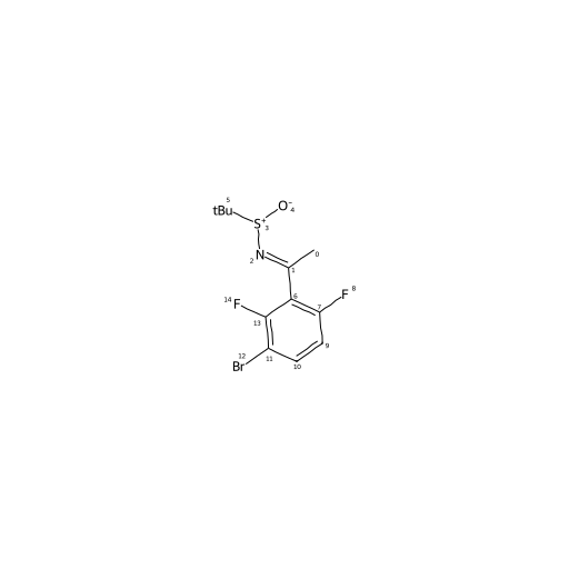 CC(=N[S+]([O-])C(C)(C)C)c1c(F)ccc(Br)c1F